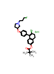 Br.CC(C)(C)C(=O)Oc1ccc2c(c1)CCC(Br)=C2c1ccc(OC2CCN(CCCF)C2)cc1